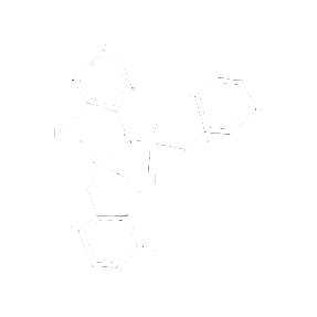 CS(C)(Cc1ccccc1)N(c1ccccc1Br)S(C)(C)Cc1ccccc1